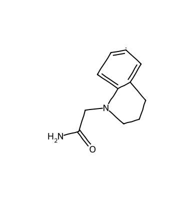 NC(=O)CN1CCCc2c[c]ccc21